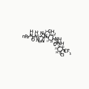 C=Cc1nc2c(NC(=O)NCCC)ncnc2n1-c1ccc(NC(=O)Nc2ccc(Cl)c(C(F)(F)F)c2)cc1